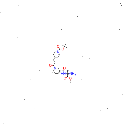 COC(=O)[C@@](C)(N)NC(=O)[C@@H]1CCCN(C(=O)CCC2CCN(C(=O)OC(C)(C)C)CC2)C1